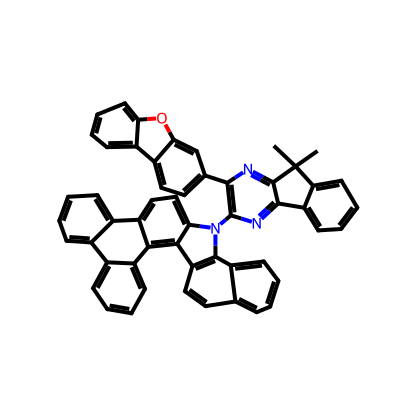 CC1(C)c2ccccc2-c2nc(-n3c4ccc5c6ccccc6c6ccccc6c5c4c4ccc5ccccc5c43)c(-c3ccc4c(c3)oc3ccccc34)nc21